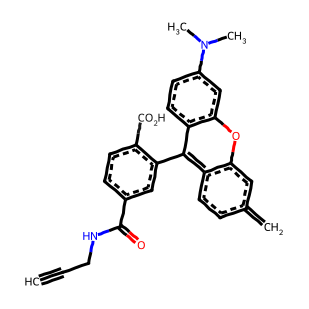 C#CCNC(=O)c1ccc(C(=O)O)c(C2=c3ccc(=C)cc3Oc3cc(N(C)C)ccc32)c1